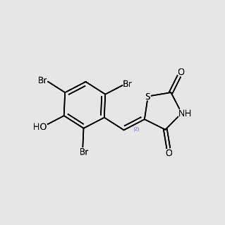 O=C1NC(=O)/C(=C/c2c(Br)cc(Br)c(O)c2Br)S1